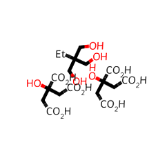 CCC(CO)(CO)CO.O=C(O)CC(O)(CC(=O)O)C(=O)O.O=C(O)CC(O)(CC(=O)O)C(=O)O